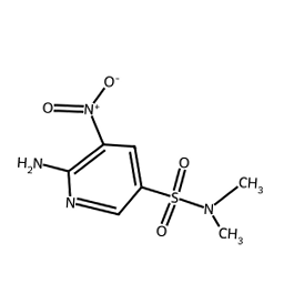 CN(C)S(=O)(=O)c1cnc(N)c([N+](=O)[O-])c1